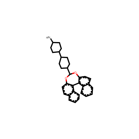 CCCC1CCC(C2CCC(C3Oc4ccc5ccccc5c4-c4c(ccc5ccccc45)O3)CC2)CC1